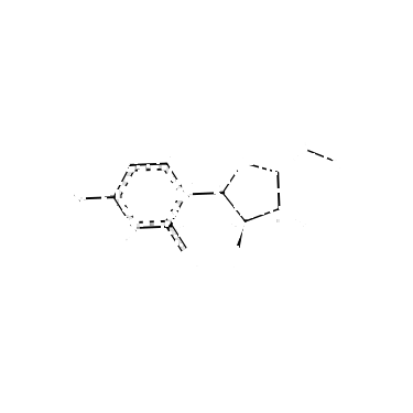 Nc1ccn(C2O[C@H](CO)[C@H](F)[C@H]2O)c(=O)n1